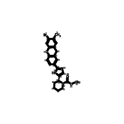 Cc1cc2c(cc1Br)Oc1ccc(-c3ncc([C@@H]4CCCCN4C(=O)OC(C)(C)C)[nH]3)cc1C2